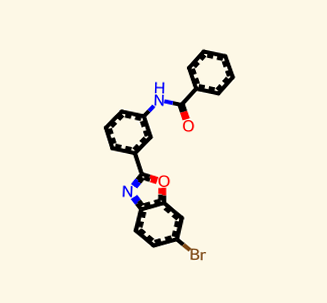 O=C(Nc1cccc(-c2nc3ccc(Br)cc3o2)c1)c1ccccc1